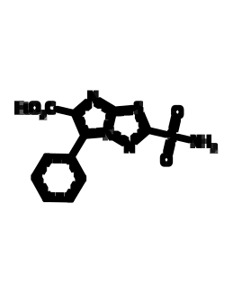 CCOC(=O)c1nc2sc(S(N)(=O)=O)nn2c1-c1ccccc1